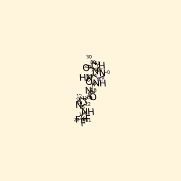 CN/C=C(/NC(=O)c1coc(-c2ccnc(NCC(F)(F)F)c2)n1)C(=N)N1CC[C@@H](C)C1=O